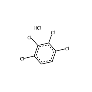 Cl.Clc1ccc(Cl)c(Cl)c1Cl